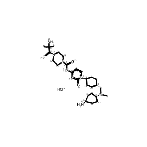 CN(C[C@H]1CC[C@H](n2ccc(NC(=O)N3CCN(C(=O)C(C)(C)N)CC3)nc2=O)CC1)[C@H]1CC[C@H](N)CC1.Cl